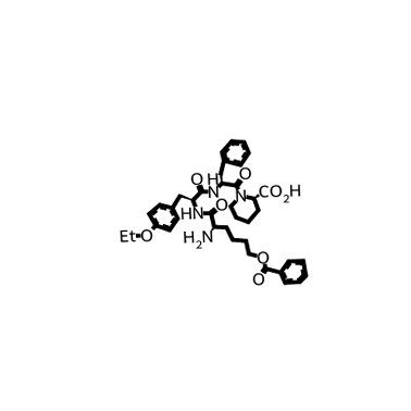 CCOc1ccc(C[C@H](NC(=O)[C@@H](N)CCCCOC(=O)c2ccccc2)C(=O)N[C@@H](Cc2ccccc2)C(=O)N2CCCC[C@@H]2C(=O)O)cc1